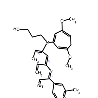 C=CC(=C\C(=C/C)N(CCCO)C1=CC(OC)=CCC(OC)=C1)/N=C(\C=N)c1ccnc(C)c1